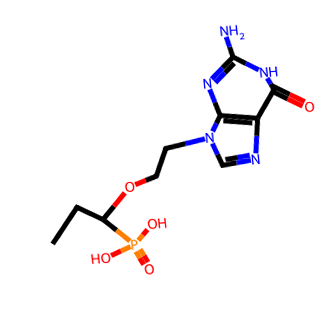 CCC(OCCn1cnc2c(=O)[nH]c(N)nc21)P(=O)(O)O